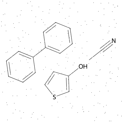 CC#N.Oc1ccsc1.c1ccc(-c2ccccc2)cc1